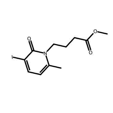 COC(=O)CCCn1c(C)ccc(I)c1=O